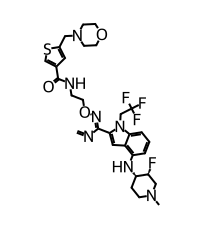 C=N/C(=N\OCCNC(=O)c1csc(CN2CCOCC2)c1)c1cc2c(N[C@@H]3CCN(C)C[C@@H]3F)cccc2n1CC(F)(F)F